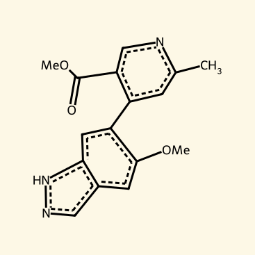 COC(=O)c1cnc(C)cc1-c1cc2[nH]ncc2cc1OC